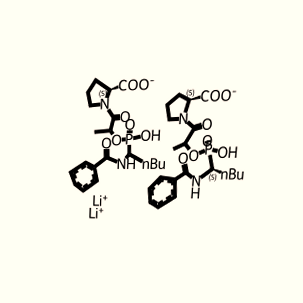 CCCCC(NC(=O)c1ccccc1)P(=O)(O)OC(C)C(=O)N1CCC[C@H]1C(=O)[O-].CCCC[C@@H](NC(=O)c1ccccc1)P(=O)(O)OC(C)C(=O)N1CCC[C@H]1C(=O)[O-].[Li+].[Li+]